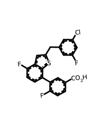 O=C(O)c1ccc(F)c(-c2ccc(F)c3cc(Cc4cc(F)cc(Cl)c4)sc23)c1